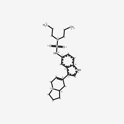 CCCN(CCC)S(=O)(=O)Nc1ccc2[nH]cc(C3=CCN4CCCC4C3)c2c1